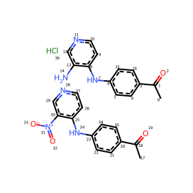 CC(=O)c1ccc(Nc2ccncc2N)cc1.CC(=O)c1ccc(Nc2ccncc2[N+](=O)[O-])cc1.Cl